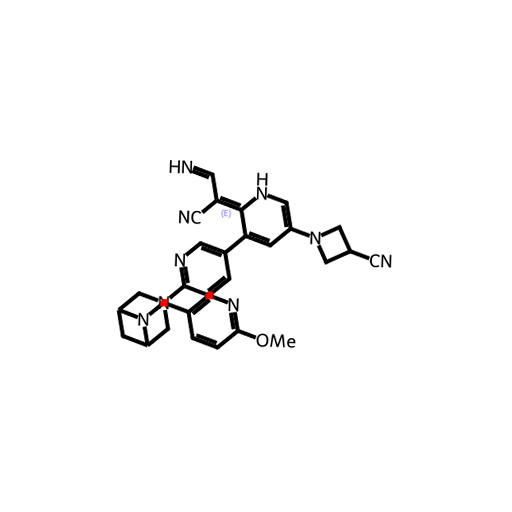 COc1ccc(CN2C3CC2CN(c2ccc(C4=CC(N5CC(C#N)C5)=CN/C4=C(/C#N)C=N)cn2)C3)cn1